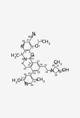 CCOc1cc(C(C)N2CCc3c(cc(CCN4C[C@@H](O)[C@H]4C)cc3-c3cc(C)ncc3C)C2=O)ncc1C#N